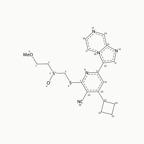 COCC[S+]([O-])CSc1nc(-c2cnc3cnccn23)cc(C2CCC2)c1C#N